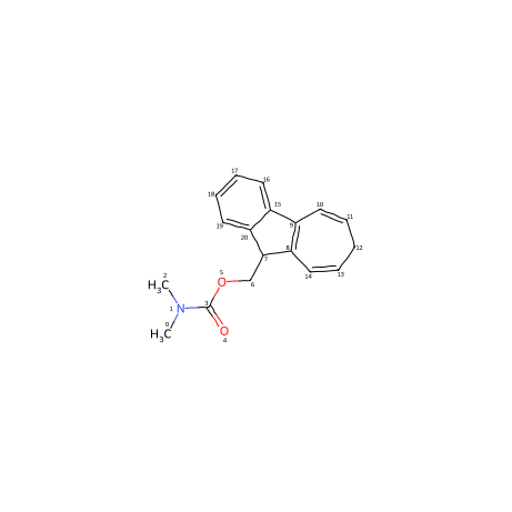 CN(C)C(=O)OCC1C2=C(C=CCC=C2)c2ccccc21